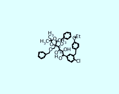 CCOc1ccc(Cc2cc(C(=O)[C@H](O)[C@@H](O)[C@H](OCc3ccccc3)[C@]3(COCc4ccccc4)OC(C)(C)O[C@@H]3C)ccc2Cl)cc1